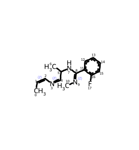 C/C=C\N=C/C(C)N/C(=N\C)c1ccccc1F